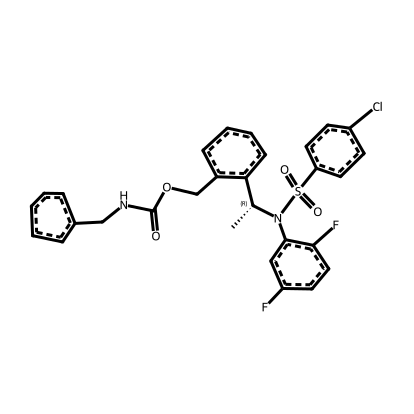 C[C@H](c1ccccc1COC(=O)NCc1ccccc1)N(c1cc(F)ccc1F)S(=O)(=O)c1ccc(Cl)cc1